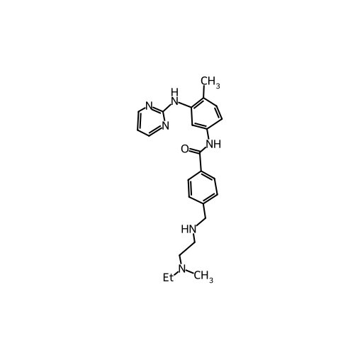 CCN(C)CCNCc1ccc(C(=O)Nc2ccc(C)c(Nc3ncccn3)c2)cc1